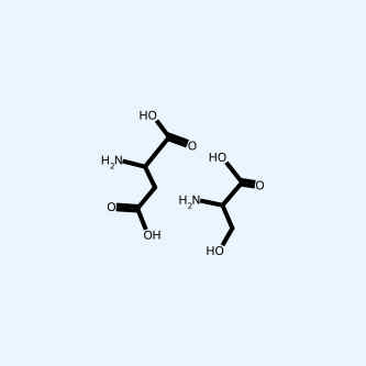 NC(CC(=O)O)C(=O)O.NC(CO)C(=O)O